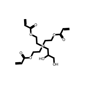 C=CC(=O)OCC[N+](CCOC(=O)C=C)(CCOC(=O)C=C)CC(O)CO